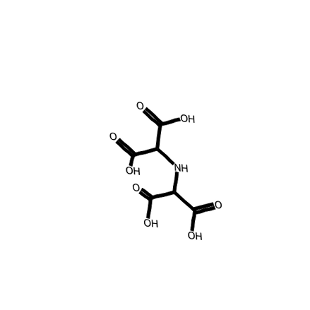 O=C(O)C(NC(C(=O)O)C(=O)O)C(=O)O